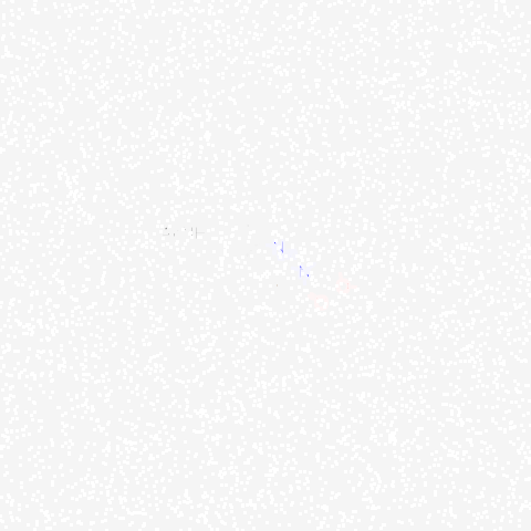 CC(=O)Nc1ccc(/N=C2\SCC(=O)N2Cc2ccco2)cc1